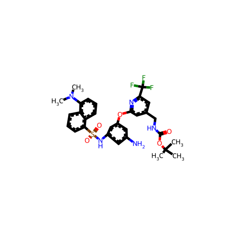 CN(C)c1cccc2c(S(=O)(=O)Nc3cc(N)cc(Oc4cc(CNC(=O)OC(C)(C)C)cc(C(F)(F)F)n4)c3)cccc12